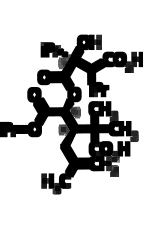 C=C(C)C[C@@H]([C@H](OC(=O)[C@](O)(C(C)C)C(C(=O)O)C(C)C)C(=O)OC(C)C)C(C)(C)C(=O)O